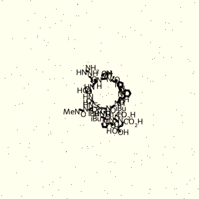 CCC(C)C(NC(=O)[C@H]1NC(=O)[C@H]([C@@H](C)CC)NC(=O)[C@@H]2C[C@@H]3CCCC[C@@H]3N2C(=O)[C@@H]2CCCN2C(=O)[C@H](CC(C)C)NC(=O)[C@H](CO)NC(=O)[C@H](CCCNC(=N)N)NC(=O)[C@H](CO)NC(=O)[C@@H](NC(=O)[C@@H](NC(=O)CNC)[C@@H](C)CC)SSC1(C)C)C(=O)N1CCCC1C(=O)N[C@@H](CC(=O)O)C(=O)N[C@@H](CCC(O)O)C(=O)O